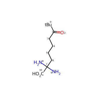 CC(C)(C)C(=O)CCCCC(N)(N)C(=O)O